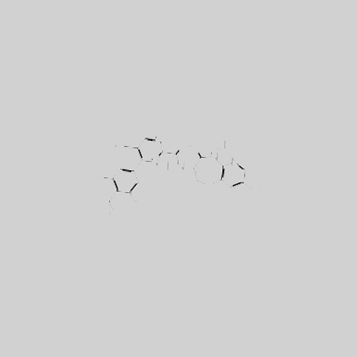 CN1C(=O)[C@@H](NC(=O)c2ncc(Cl)c(-c3cc(F)c(CO)c(F)c3)n2)COc2cc(Cl)cnc21